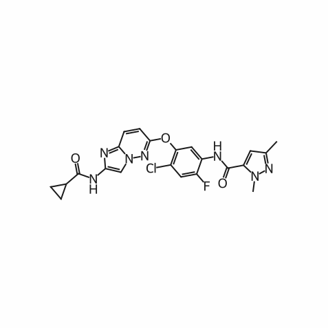 Cc1cc(C(=O)Nc2cc(Oc3ccc4nc(NC(=O)C5CC5)cn4n3)c(Cl)cc2F)n(C)n1